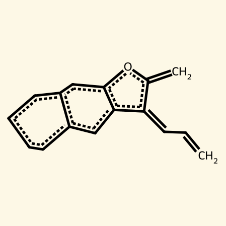 C=C/C=c1\c(=C)oc2cc3ccccc3cc12